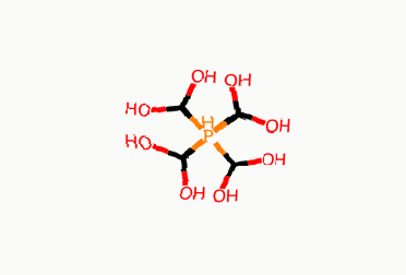 OC(O)[PH](C(O)O)(C(O)O)C(O)O